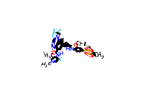 COc1cc(S(C)(=O)=O)ccc1NCC#Cc1cc(C(=O)NC2C(C)CN(C)CC2F)c2ncn(CC(F)(F)F)c2c1